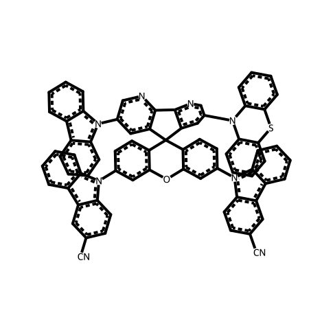 N#Cc1ccc2c(c1)c1ccccc1n2-c1ccc2c(c1)Oc1cc(-n3c4ccccc4c4cc(C#N)ccc43)ccc1C21c2cc(N3c4ccccc4Sc4ccccc43)cnc2-c2ncc(-n3c4ccccc4c4ccccc43)cc21